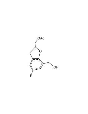 CC(=O)OCC1Cc2cc(F)cc(CO)c2O1